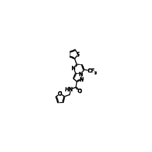 O=C(NCc1ccco1)c1cc2nc(-c3cccs3)cc(C(F)(F)F)n2n1